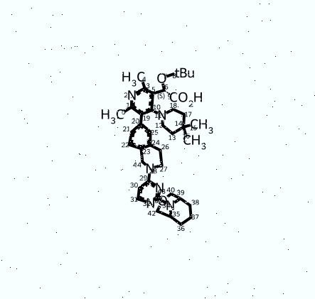 Cc1nc(C)c([C@H](OC(C)(C)C)C(=O)O)c(N2CCC(C)(C)CC2)c1-c1ccc2c(c1)CCN(c1ccnc(N3C4CCCC3COC4)n1)C2